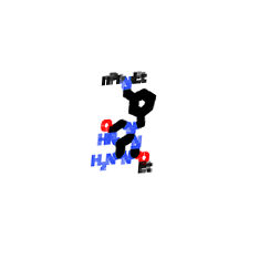 CCCN(CC)Cc1cccc(CN2CC(=O)Nc3c(N)nc(OCC)nc32)c1